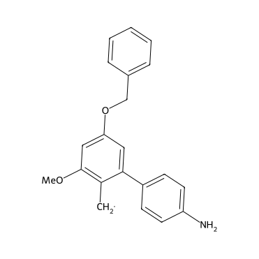 [CH2]c1c(OC)cc(OCc2ccccc2)cc1-c1ccc(N)cc1